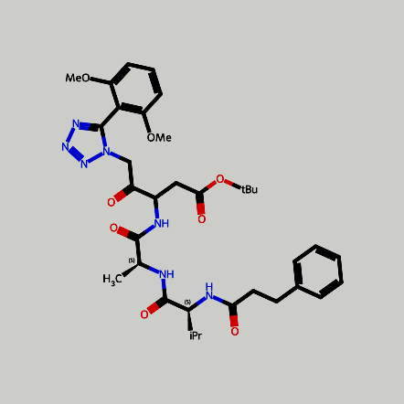 COc1cccc(OC)c1-c1nnnn1CC(=O)C(CC(=O)OC(C)(C)C)NC(=O)[C@H](C)NC(=O)[C@@H](NC(=O)CCc1ccccc1)C(C)C